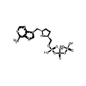 Nc1ncnc2c1ncn2C[C@H]1CC[C@@H](COP(=O)(O)OP(=O)(O)OP(=O)(O)O)N1